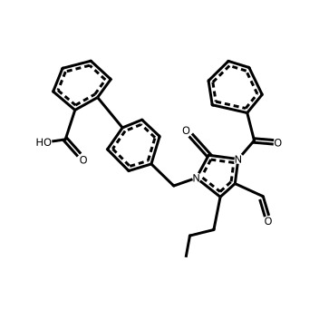 CCCc1c(C=O)n(C(=O)c2ccccc2)c(=O)n1Cc1ccc(-c2ccccc2C(=O)O)cc1